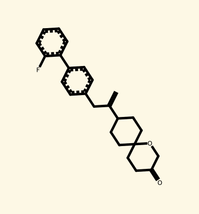 C=C(Cc1ccc(-c2ccccc2F)cc1)C1CCC2(CCC(=O)CO2)CC1